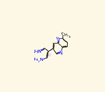 Cc1ccc2ncc(/C(C=N)=C/N)cc2n1